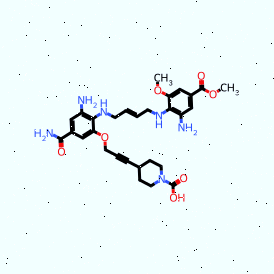 COC(=O)c1cc(N)c(NCC=CCNc2c(N)cc(C(N)=O)cc2OCC#CC2CCN(C(=O)O)CC2)c(OC)c1